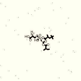 CCC(C)C(=O)O[C@H](COP(=O)(O)OC[C@H](N)C(=O)O)OC(=O)C(C)CC(C)(C)C